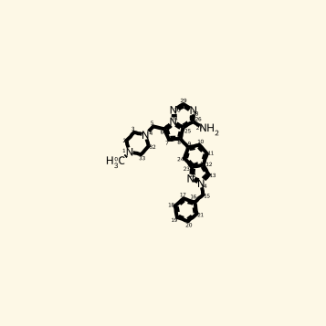 CN1CCN(Cc2cc(-c3ccc4cn(Cc5ccccc5)nc4c3)c3c(N)ncnn23)CC1